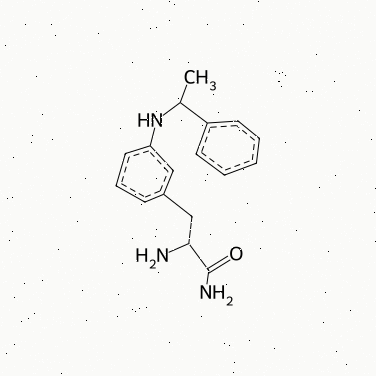 CC(Nc1cccc(CC(N)C(N)=O)c1)c1ccccc1